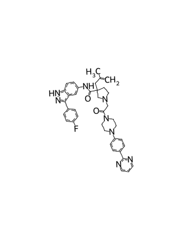 C=C(C)CC1(C(=O)Nc2ccc3[nH]nc(-c4ccc(F)cc4)c3c2)CCN(CC(=O)N2CCN(c3ccc(-c4ncccn4)cc3)CC2)C1